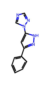 c1ccc(-c2cc(-n3cncn3)[nH]n2)cc1